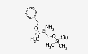 C[C@@H](OCc1ccccc1)[C@H](N)CO[Si](C)(C)C(C)(C)C